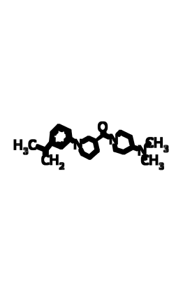 C=C(C)c1cccc(N2CCC[C@H](C(=O)N3CCC(N(C)C)CC3)C2)c1